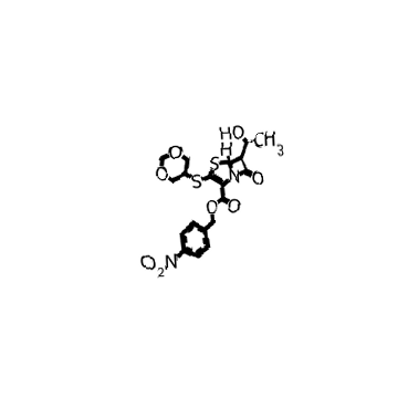 C[C@@H](O)[C@H]1C(=O)N2C(C(=O)OCc3ccc([N+](=O)[O-])cc3)=C(SC3COCOC3)S[C@H]12